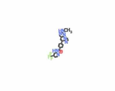 CNc1ncc2c(n1)N1CCN=C1C(c1ccc(C(=O)Nc3cc(C(F)(F)F)ccn3)cc1)=C2